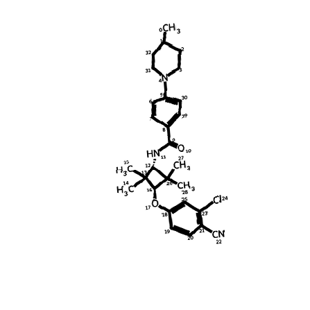 CC1CCN(c2ccc(C(=O)N[C@H]3C(C)(C)[C@H](Oc4ccc(C#N)c(Cl)c4)C3(C)C)cc2)CC1